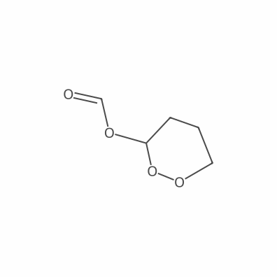 O=COC1CCCOO1